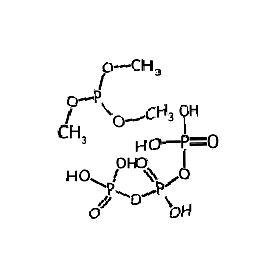 COP(OC)OC.O=P(O)(O)OP(=O)(O)OP(=O)(O)O